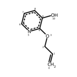 C=CCOc1ncccc1O